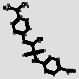 COc1ccc(NS(=O)(=O)C(C#N)=Cc2ccc(N(C)C)cc2)cc1